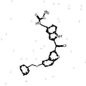 CC(C)(C)OC(=O)Nc1ccc2[nH]c(C(=O)c3cc4cc(OCc5ccccc5)ccc4o3)cc2c1